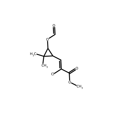 COC(=O)C(Cl)=CC1C(OC=O)C1(C)C